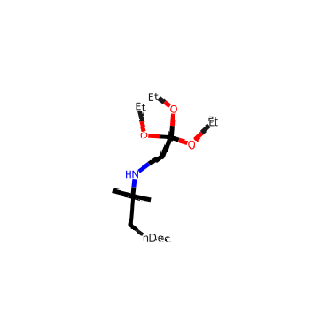 CCCCCCCCCCCC(C)(C)NCC(OCC)(OCC)OCC